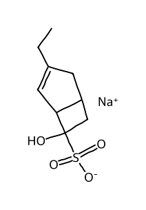 CCC1=CC2C(C1)CC2(O)S(=O)(=O)[O-].[Na+]